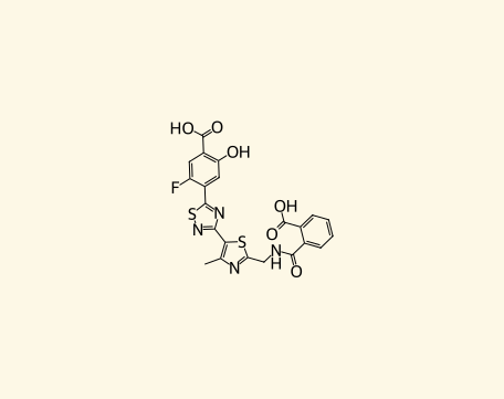 Cc1nc(CNC(=O)c2ccccc2C(=O)O)sc1-c1nsc(-c2cc(O)c(C(=O)O)cc2F)n1